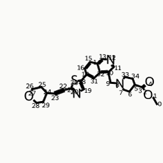 CCOC(=O)C1CCN(Cc2cncc3ccc(-c4cnc(C#CC5CCOCC5)s4)cc23)CC1